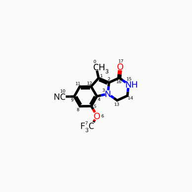 Cc1c2n(c3c(OC(F)(F)F)cc(C#N)cc13)CCNC2=O